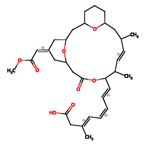 COC(=O)/C=C1\CC2CC(=O)OC(/C=C/C=C\C=C(/C)CC(=O)O)C(C)/C=C/C(C)CC3CCCC(CC(C1)O2)O3